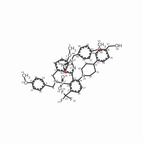 COc1ccc(CN(Cc2ccc(OC)cc2)S(=O)(=O)c2c(C(F)(F)F)ccc(N3CCC(c4ccc(CO)cc4)CC3)c2-c2nnn(Cc3ccc(OC)cc3)n2)cc1